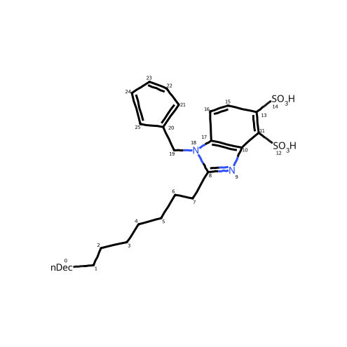 CCCCCCCCCCCCCCCCCc1nc2c(S(=O)(=O)O)c(S(=O)(=O)O)ccc2n1Cc1ccccc1